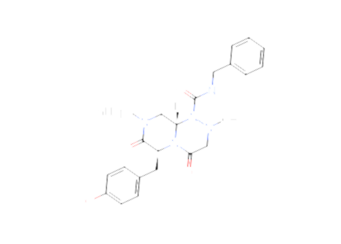 CCCCCCCN1C[C@H]2N(C(=O)CN(C)N2C(=O)NCc2ccccc2)[C@@H](Cc2ccc(O)cc2)C1=O